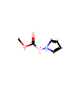 COC(=O)Bn1cccc1